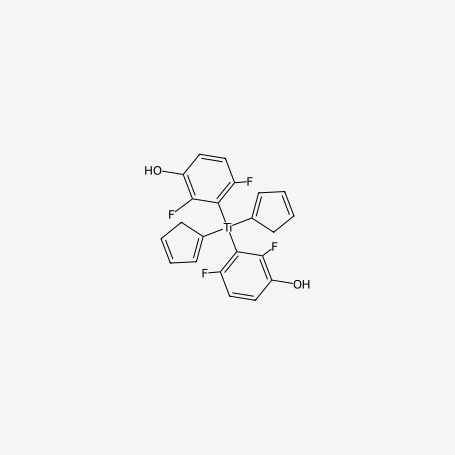 Oc1ccc(F)[c]([Ti]([C]2=CC=CC2)([C]2=CC=CC2)[c]2c(F)ccc(O)c2F)c1F